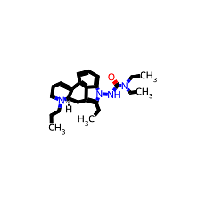 CCCN1CCC=C2c3cccc4c3c(c(CC)n4NC(=O)N(CC)CC)C[C@H]21